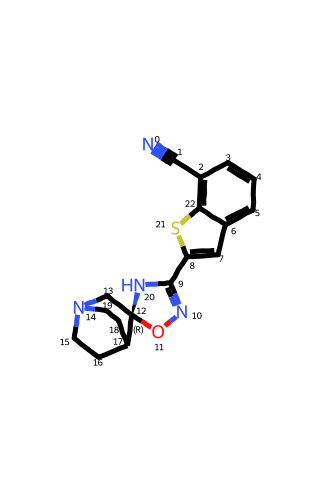 N#Cc1cccc2cc(C3=NO[C@]4(CN5CCC4CC5)N3)sc12